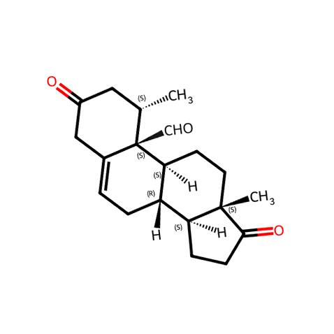 C[C@H]1CC(=O)CC2=CC[C@@H]3[C@H](CC[C@]4(C)C(=O)CC[C@@H]34)[C@]21C=O